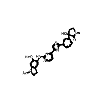 COc1cc2c(cc1Nc1nccc(-c3csc(-c4cccc(C5(O)CCN(C)C5=O)c4)n3)n1)CCN2C(C)=O